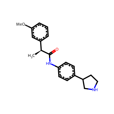 COc1cccc([C@H](C)C(=O)Nc2ccc(C3CCNC3)cc2)c1